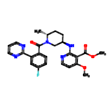 COC(=O)c1c(OC)ccnc1N[C@@H]1CC[C@@H](C)N(C(=O)c2ccc(F)cc2-c2ncccn2)C1